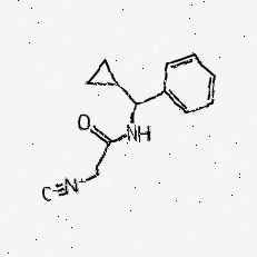 [C-]#[N+]CC(=O)N[C@H](c1ccccc1)C1CC1